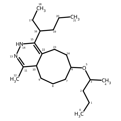 CCCC(C)OC1CCCC2C(C)=NNC(C(CC)CCC)=C2CC1